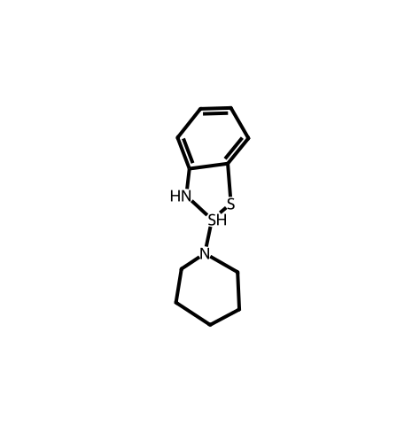 c1ccc2c(c1)N[SH](N1CCCCC1)S2